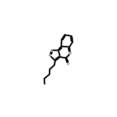 CCCCCC1=C2C(=O)N=c3ccccc3=C2N=N1